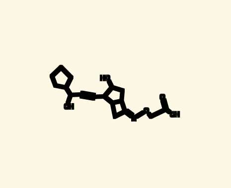 O=C(O)CO/N=C1/CC2C1CC(O)C2C#CC(O)C1CCCC1